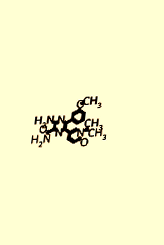 COc1cccc(-c2nc(N)c(C(N)=O)nc2-c2ccc(=O)n(C(C)C)c2)c1